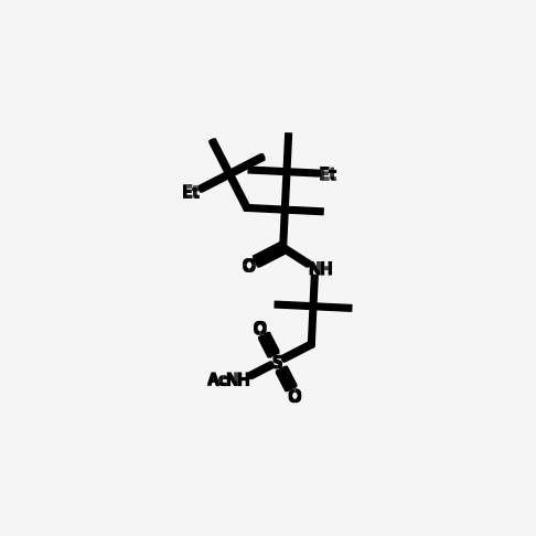 CCC(C)(C)CC(C)(C(=O)NC(C)(C)CS(=O)(=O)NC(C)=O)C(C)(C)CC